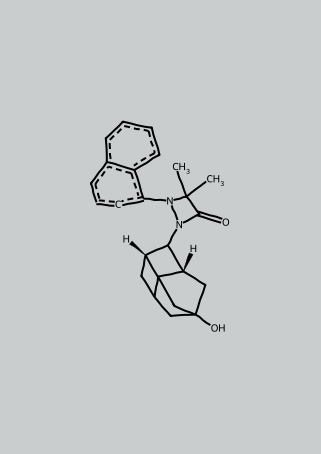 CC1(C)C(=O)N(C2[C@H]3CC4C[C@H]2CC(O)(C4)C3)N1c1cccc2ccccc12